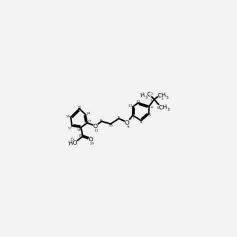 CC(C)(C)c1ccc(OCCCOc2ccccc2C(=O)O)cc1